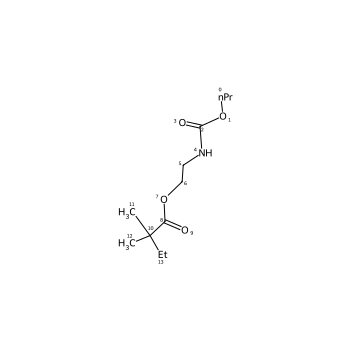 CCCOC(=O)NCCOC(=O)C(C)(C)CC